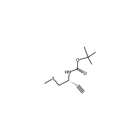 C#C[C@H](CSC)NC(=O)OC(C)(C)C